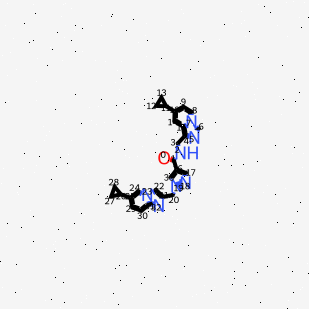 O=C(NCc1ncn2ccc(C3CC3)cc12)c1cnn(Cc2cn3cc(C4CC4)ccc3n2)c1